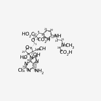 C#C[C@@]1(O)[C@@H](COC(Cc2ccc(NCCN(C)CC(=O)O)cc2)(C(=O)O)C(=O)O)OC[C@]1(O)n1cnc2c(N)nc(Cl)nc21